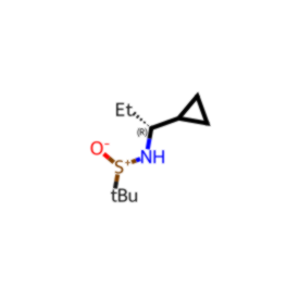 CC[C@@H](N[S+]([O-])C(C)(C)C)C1CC1